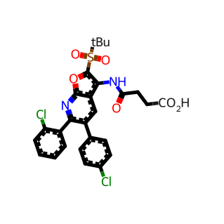 CC(C)(C)S(=O)(=O)c1oc2nc(-c3ccccc3Cl)c(-c3ccc(Cl)cc3)cc2c1NC(=O)CCC(=O)O